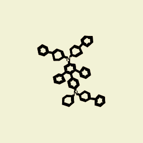 C1=CCCC(N(c2ccc(-c3c(-c4ccccc4)cc(N(C4=CC=C(c5ccccc5)CC4)C4C=CC(c5ccccc5)=CC4)cc3-c3ccccc3)cc2)C2C=CC(c3ccccc3)=CC2)=C1